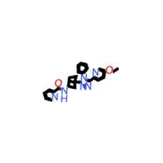 CCOc1ccc(-c2nnc(C34CCC3C(NC(=O)c3ccccn3)C4)n2-c2ccccc2)nc1